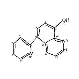 Oc1ccc(-c2ccccn2)c2cccnc12